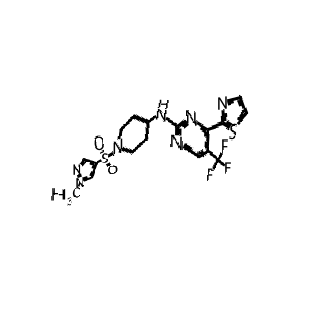 Cn1cc(S(=O)(=O)N2CCC(Nc3ncc(C(F)(F)F)c(-c4nccs4)n3)CC2)cn1